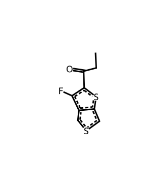 CCC(=O)c1sc2cscc2c1F